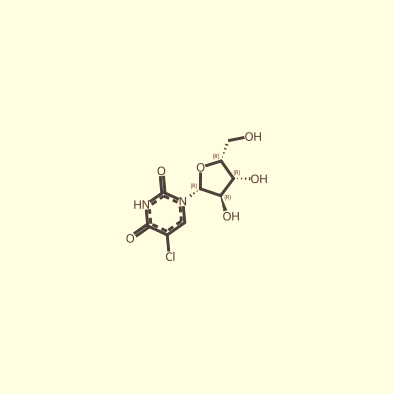 O=c1[nH]c(=O)n([C@@H]2O[C@H](CO)[C@H](O)[C@H]2O)cc1Cl